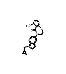 Nc1ncnc2c1C(=O)N(c1cnc3c(ccn3CC3CC3)c1)CCO2